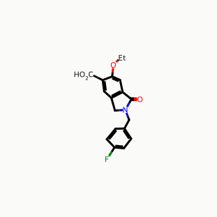 CCOc1cc2c(cc1C(=O)O)CN(Cc1ccc(F)cc1)C2=O